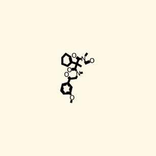 COc1cccc(C(=O)CN(C)C(=O)C(C)(C(=O)N(C)C=O)C2=CCCCC2)c1